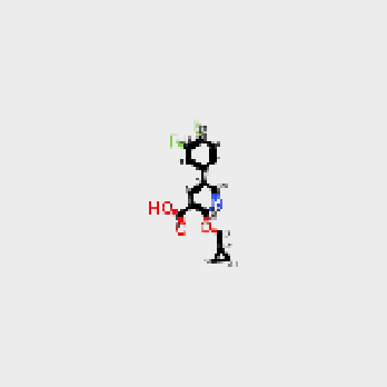 O=C(O)c1cc(-c2ccc(F)c(F)c2)cnc1OCC1CC1